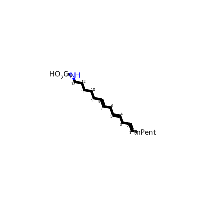 CCCCCC=CCC=CCC=CCCCCCNC(=O)O